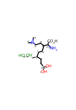 C[C@H](CCB(O)O)CCC(CCN(C)C)C(N)C(=O)O.Cl.Cl